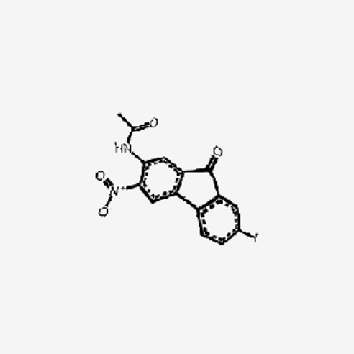 CC(=O)Nc1cc2c(cc1[N+](=O)[O-])-c1ccc(I)cc1C2=O